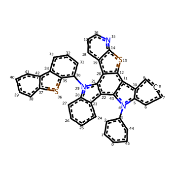 c1ccc(-n2c3ccccc3c3c4sc5ncccc5c4c4c(c5ccccc5n4-c4cccc5c4sc4ccccc45)c32)cc1